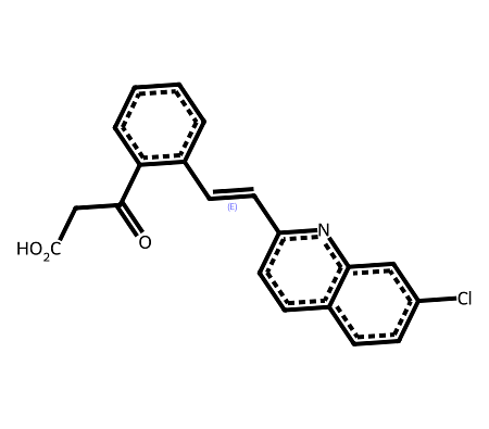 O=C(O)CC(=O)c1ccccc1/C=C/c1ccc2ccc(Cl)cc2n1